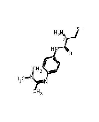 CC(=Nc1ccc(NC(=O)[C@@H](N)CS)cc1)N(C)C